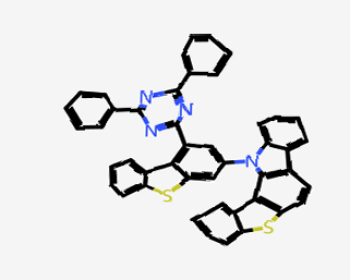 c1ccc(-c2nc(-c3ccccc3)nc(-c3cc(-n4c5ccccc5c5ccc6sc7ccccc7c6c54)cc4sc5ccccc5c34)n2)cc1